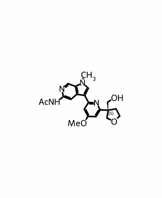 COc1cc(-c2cn(C)c3cnc(NC(C)=O)cc23)nc([C@]2(CO)CCOC2)c1